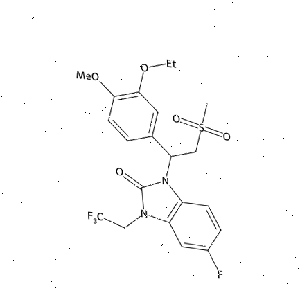 CCOc1cc(C(CS(C)(=O)=O)n2c(=O)n(CC(F)(F)F)c3cc(F)ccc32)ccc1OC